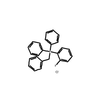 Fc1ccccc1[P+](Cc1ccccc1)(c1ccccc1)c1ccccc1.[Cl-]